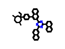 CCC1(c2ccc(-c3cc(-c4nc(-c5ccc6ccccc6c5)nc(-c5cccc6ccccc56)n4)cc4ccccc34)cc2)C[C@H](C)CC[C@H](C)C1